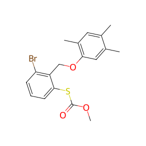 COC(=O)Sc1cccc(Br)c1COc1cc(C)c(C)cc1C